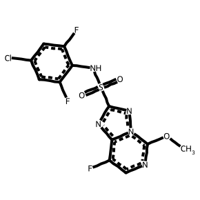 COc1ncc(F)c2nc(S(=O)(=O)Nc3c(F)cc(Cl)cc3F)nn12